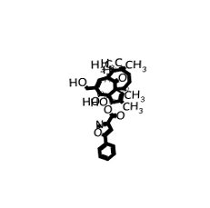 CC1=C[C@]23C(=O)[C@@H](C=C(CO)[C@@H](O)[C@]2(O)[C@H]1OC(=O)c1cc(-c2ccccc2)on1)[C@@H](C)C(C)(C)CC[C@H]3C